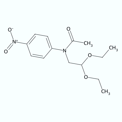 CCOC(CN(C(C)=O)c1ccc([N+](=O)[O-])cc1)OCC